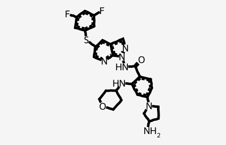 NC1CCN(c2ccc(C(=O)Nn3ncc4cc(Sc5cc(F)cc(F)c5)cnc43)c(NC3CCOCC3)c2)C1